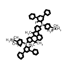 Cc1c2c3c(cccc3c3cc(N(c4ccc([Si](C)(C)C)cc4)c4cc(-c5ccccc5)cc(-c5ccccc5)c4F)ccc13)C(C)(C)c1cc(N(c3ccc([Si](C)(C)C)cc3)c3cc(-c4ccccc4)cc(-c4ccccc4)c3F)ccc1-2